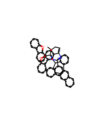 CC1C/C=C(c2ccc3oc4ccccc4c3c2C2CCc3cc4ccccc4cc3-c3ccccc32)/N=C(c2cccc3ccccc23)\N=C/1c1cccc2c1oc1ccccc12